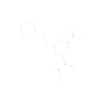 CCC(=O)C(=N)c1cc(NCc2ccccc2)cc(C(=O)O)c1